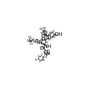 CC1C=CC(Cn2cc(C(=O)NC3=CN(COCC[Si](C)(C)C)COC(c4cc5cc(O)ccc5n4C(=O)OC(C)(C)C)=C3)cn2)=CC1